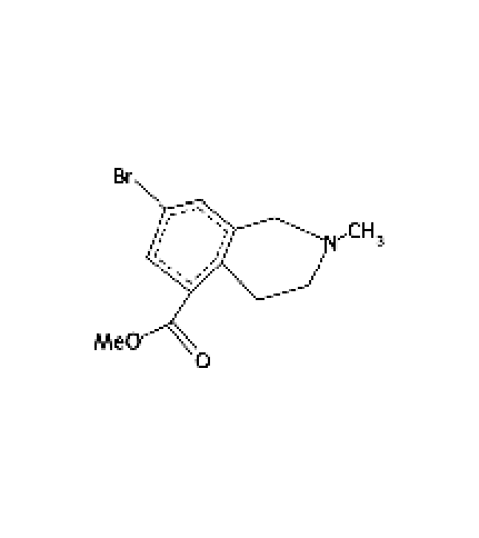 COC(=O)c1cc(Br)cc2c1CCN(C)C2